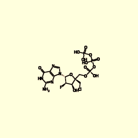 Nc1nc2c(ncn2[C@@H]2O[C@](CCl)(COP(=O)(O)OP(=O)(O)OP(=O)(O)O)[C@@H](O)[C@H]2F)c(=O)[nH]1